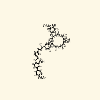 CC[C@H]1OC(=O)[C@H](C)[C@@H](O[C@H]2C[C@@](C)(OC)[C@@H](O)[C@H](C)O2)[C@H](C)[C@@H](O[C@H]2C[C@@H](N(C)CCc3cn([C@H](CO)Cc4ccc(-c5ccc(OC)nc5)cc4)nn3)C[C@@H](C)O2)[C@](C)(O)C[C@@H](C)CN(C)[C@H](C)[C@@H](O)[C@]1(C)O